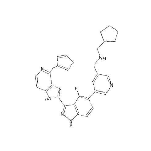 Fc1c(-c2cncc(CNCC3CCCC3)c2)ccc2[nH]nc(-c3nc4c(-c5ccsc5)nccc4[nH]3)c12